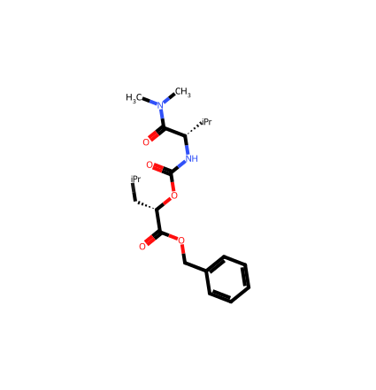 CC(C)C[C@H](OC(=O)N[C@H](C(=O)N(C)C)C(C)C)C(=O)OCc1ccccc1